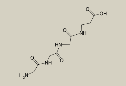 NCC(=O)NCC(=O)NCC(=O)NCCC(=O)O